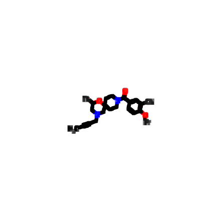 CC#CCN1CC(CC)OC2(CCN(C(=O)c3ccc(OC(C)C)c(C#N)c3)CC2)C1